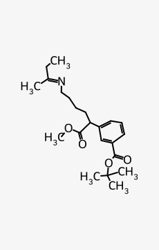 CC/C(C)=N/CCCCC(C(=O)OC)c1cccc(C(=O)OC(C)(C)C)c1